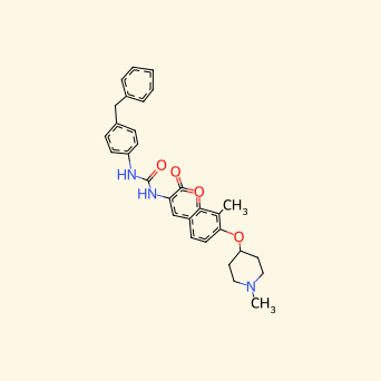 Cc1c(OC2CCN(C)CC2)ccc2cc(NC(=O)Nc3ccc(Cc4ccccc4)cc3)c(=O)oc12